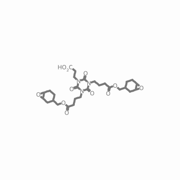 O=C(O)CCn1c(=O)n(CCCC(=O)OCC2CCC3OC3C2)c(=O)n(CCCC(=O)OCC2CCC3OC3C2)c1=O